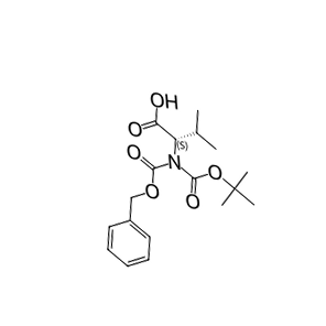 CC(C)[C@@H](C(=O)O)N(C(=O)OCc1ccccc1)C(=O)OC(C)(C)C